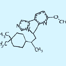 COc1ccc2c(n1)C(CC(C)C1CCC(C)(C)CC1)n1cncc1-2